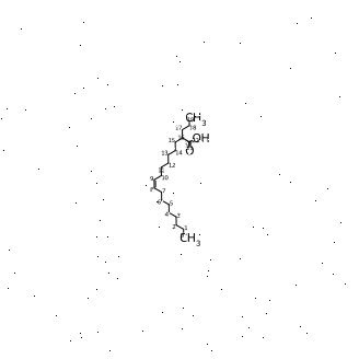 CCCCCCCC/C=C\CCCCCCC(CCC)C(=O)O